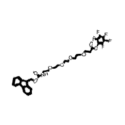 O=C(CCOCCOCCOCCOCCNC(=O)OCC1c2ccccc2-c2ccccc21)Oc1c(F)c(F)c(F)c(F)c1F